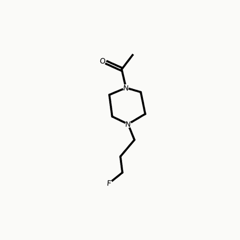 CC(=O)N1CCN(CCCF)CC1